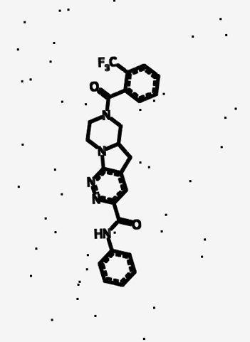 O=C(Nc1ccccc1)c1cc2c(nn1)N1CCN(C(=O)c3ccccc3C(F)(F)F)CC1C2